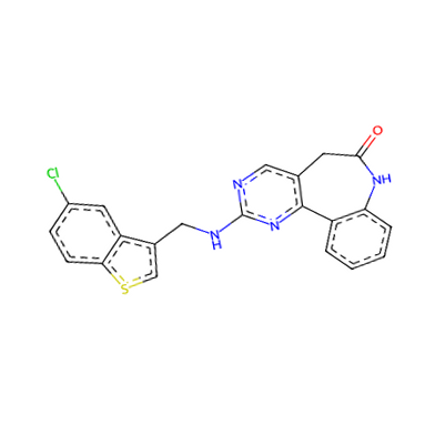 O=C1Cc2cnc(NCc3csc4ccc(Cl)cc34)nc2-c2ccccc2N1